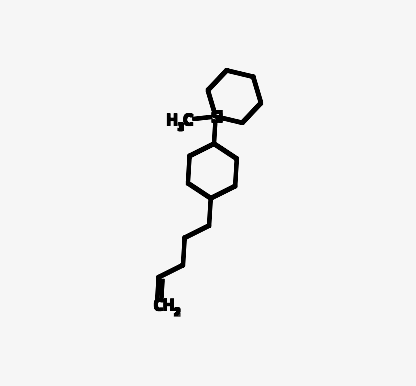 C=CCCCC1CCC([Si]2(C)CCCCC2)CC1